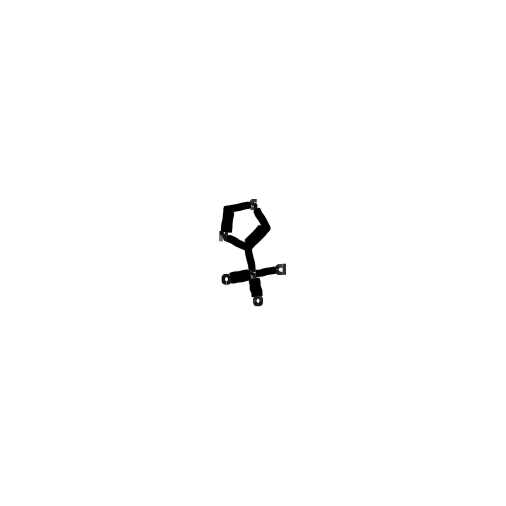 O=S(=O)(Cl)c1cscn1